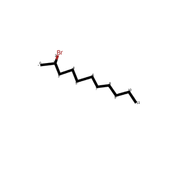 [CH2]C(Br)CCCCCCCCC